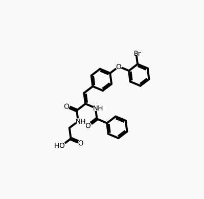 O=C(O)CNC(=O)/C(=C/c1ccc(Oc2ccccc2Br)cc1)NC(=O)c1ccccc1